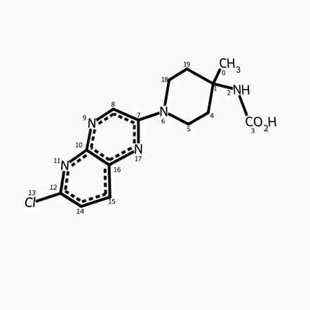 CC1(NC(=O)O)CCN(c2cnc3nc(Cl)ccc3n2)CC1